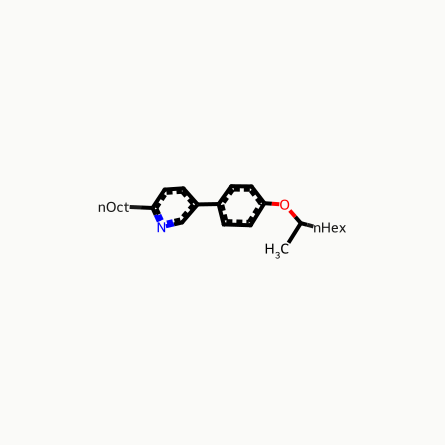 CCCCCCCCc1ccc(-c2ccc(OC(C)CCCCCC)cc2)cn1